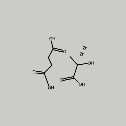 CC(O)C(=O)O.O=C(O)CCC(=O)O.[Zn].[Zn]